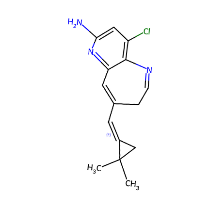 CC1(C)C/C1=C\C1=Cc2nc(N)cc(Cl)c2N=CC1